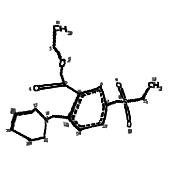 CCOC(=O)c1cc(S(=O)(=O)CC)ccc1N1CCCCC1